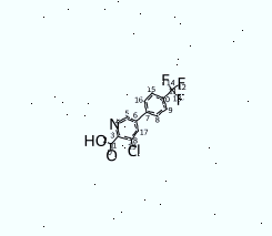 O=C(O)c1ncc(-c2ccc(C(F)(F)F)cc2)cc1Cl